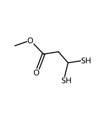 COC(=O)CC(S)S